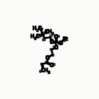 C=CC(=O)OCCOP(=O)(OCC)OCC[N+](C)(C)C